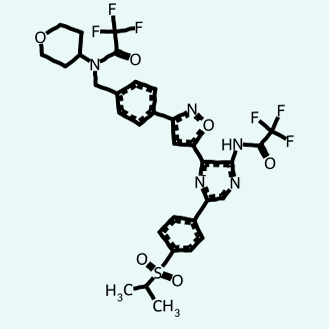 CC(C)S(=O)(=O)c1ccc(-c2cnc(NC(=O)C(F)(F)F)c(-c3cc(-c4ccc(CN(C(=O)C(F)(F)F)C5CCOCC5)cc4)no3)n2)cc1